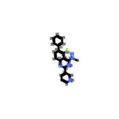 CNc1nc(-c2cccnc2)nc2ccc(-c3ccccc3)c(F)c12